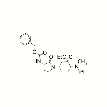 CCOC(=O)[C@@H]1C[C@H](N(C)C(C)C)CCC1N1CC[C@H](NC(=O)OCc2ccccc2)C1=O